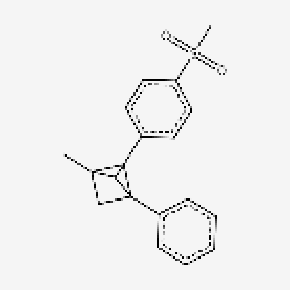 CC12CC(c3ccccc3)(C1)C2c1ccc(S(C)(=O)=O)cc1